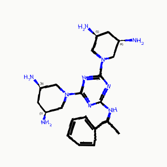 CC(Nc1nc(N2C[C@H](N)C[C@H](N)C2)nc(N2C[C@H](N)C[C@H](N)C2)n1)c1ccccc1